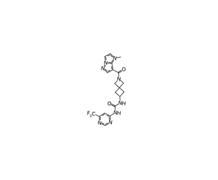 Cn1ccn2ncc(C(=O)N3CC4(CC(NC(=O)Nc5cc(C(F)(F)F)ncn5)C4)C3)c12